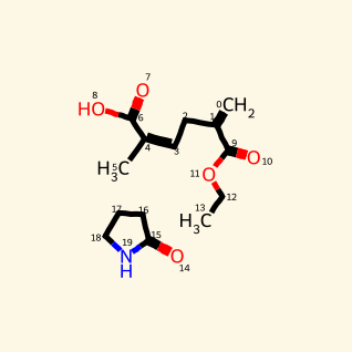 C=C(CC=C(C)C(=O)O)C(=O)OCC.O=C1CCCN1